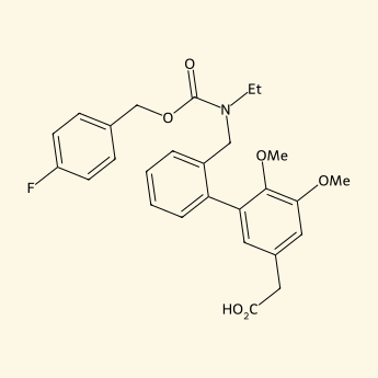 CCN(Cc1ccccc1-c1cc(CC(=O)O)cc(OC)c1OC)C(=O)OCc1ccc(F)cc1